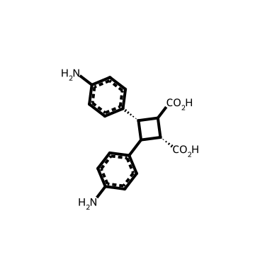 Nc1ccc(C2[C@@H](C(=O)O)C(C(=O)O)[C@H]2c2ccc(N)cc2)cc1